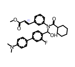 COC(=O)/C=C/c1cccc(N(C(=O)C2CCCCC2)C(O)c2ccc(-c3ccc(N(C)C)cc3)cc2F)c1